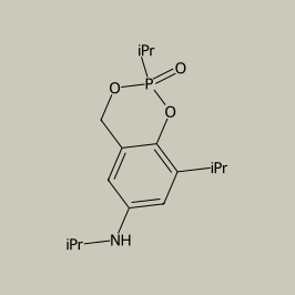 CC(C)Nc1cc2c(c(C(C)C)c1)OP(=O)(C(C)C)OC2